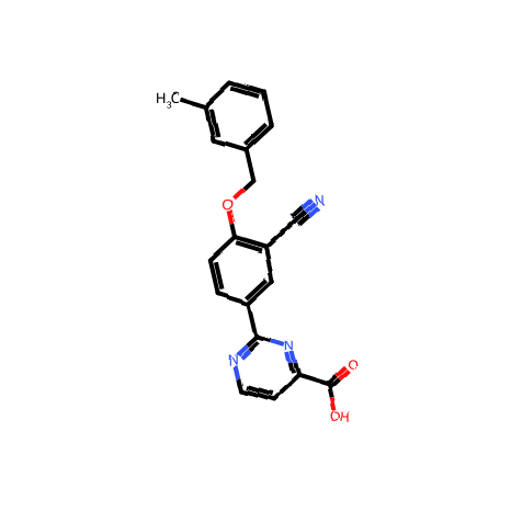 Cc1cccc(COc2ccc(-c3nccc(C(=O)O)n3)cc2C#N)c1